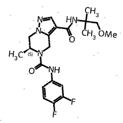 COCC(C)(C)NC(=O)c1cnn2c1CN(C(=O)Nc1ccc(F)c(F)c1)[C@@H](C)C2